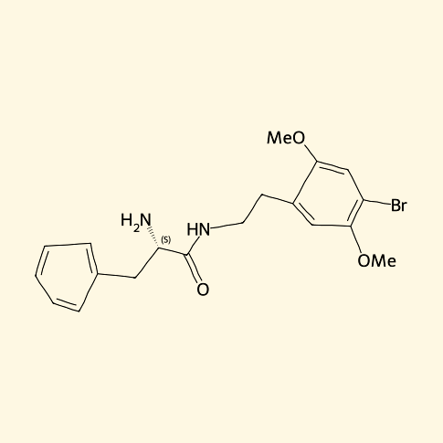 COc1cc(CCNC(=O)[C@@H](N)Cc2ccccc2)c(OC)cc1Br